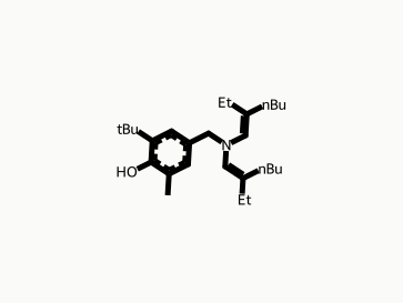 CCCCC(=CN(C=C(CC)CCCC)Cc1cc(C)c(O)c(C(C)(C)C)c1)CC